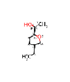 CCC1CC[C@@H]([C@@H](C)O)OC1